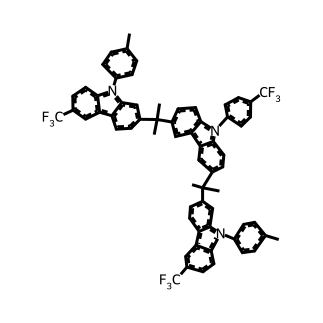 Cc1ccc(-n2c3ccc(C(F)(F)F)cc3c3ccc(C(C)(C)c4ccc5c(c4)c4cc(C(C)(C)c6ccc7c8cc(C(F)(F)F)ccc8n(-c8ccc(C)cc8)c7c6)ccc4n5-c4ccc(C(F)(F)F)cc4)cc32)cc1